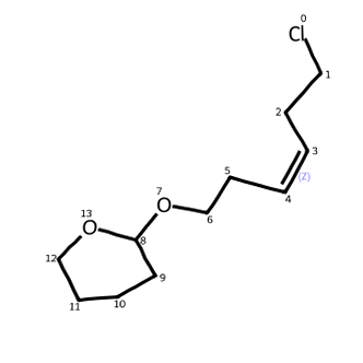 ClCC/C=C\CCOC1CCCCO1